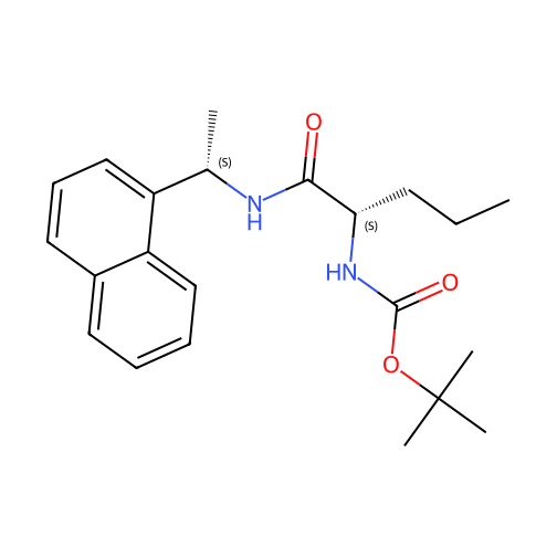 CCC[C@H](NC(=O)OC(C)(C)C)C(=O)N[C@@H](C)c1cccc2ccccc12